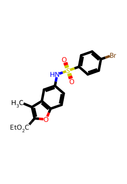 CCOC(=O)c1oc2ccc(NS(=O)(=O)c3ccc(Br)cc3)cc2c1C